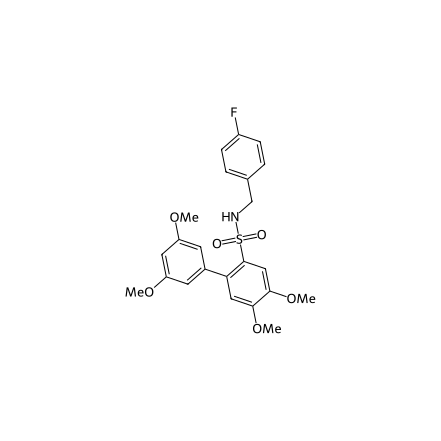 COc1cc(OC)cc(-c2cc(OC)c(OC)cc2S(=O)(=O)NCc2ccc(F)cc2)c1